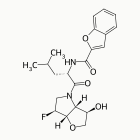 CC(C)C[C@H](NC(=O)c1cc2ccccc2o1)C(=O)N1C[C@H](F)[C@H]2OC[C@H](O)[C@H]21